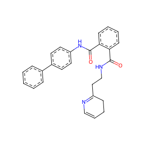 O=C(NCCC1=NC=CCC1)c1ccccc1C(=O)Nc1ccc(-c2ccccc2)cc1